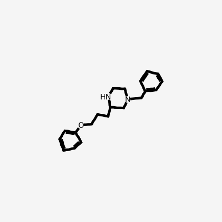 c1ccc(CN2CCNC(CCCOc3ccccc3)C2)cc1